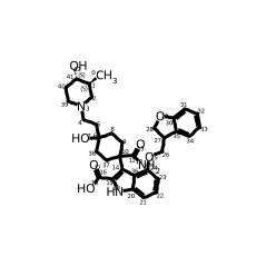 C[C@H]1CN(CCC2(O)CCC(C(N)=O)(c3c(C(=O)O)[nH]c4cccc(OCC5COc6ccccc65)c34)CC2)CC[C@@H]1O